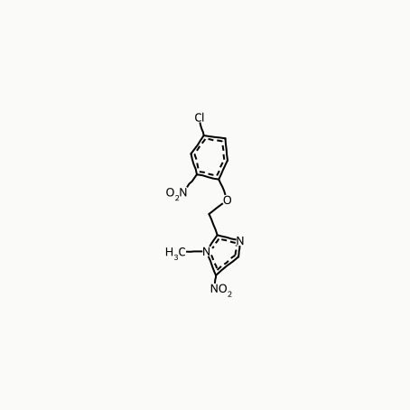 Cn1c([N+](=O)[O-])cnc1COc1ccc(Cl)cc1[N+](=O)[O-]